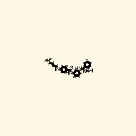 CN(C)C/C=C/CNc1ccc(C(=O)Nc2cccc(Nc3n[nH]c4ccccc34)c2)cc1